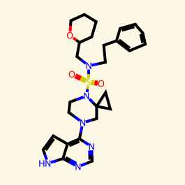 O=S(=O)(N(CCc1ccccc1)CC1CCCCO1)N1CCN(c2ncnc3[nH]ccc23)CC12CC2